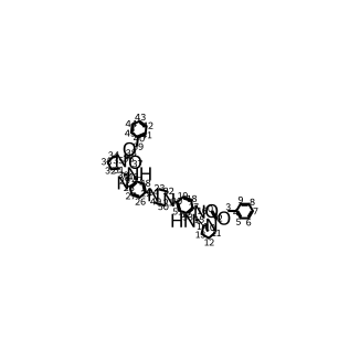 O=C(OCc1ccccc1)N1CCC[C@H]1c1nc2ccc(N3CCN(c4ccc5nc([C@@H]6CCCN6C(=O)OCc6ccccc6)[nH]c5c4)CC3)cc2[nH]1